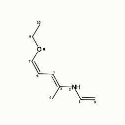 C=CN/C(C)=C/C=C\OCC